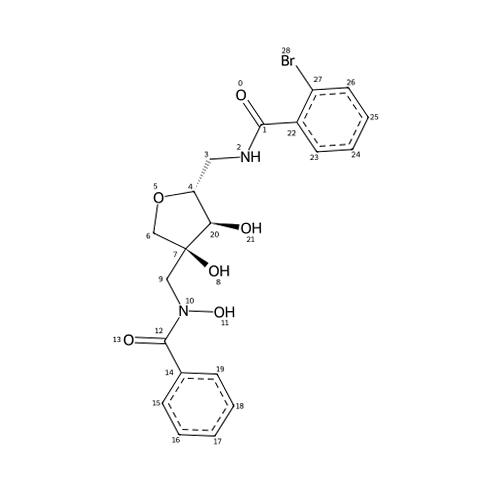 O=C(NC[C@H]1OC[C@@](O)(CN(O)C(=O)c2ccccc2)[C@@H]1O)c1ccccc1Br